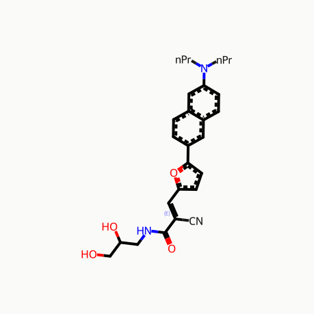 CCCN(CCC)c1ccc2cc(-c3ccc(/C=C(\C#N)C(=O)NCC(O)CO)o3)ccc2c1